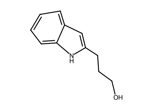 OCCCc1cc2ccccc2[nH]1